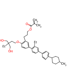 C=C(C)C(=O)OCCCc1cc(-c2ccc(-c3ccc(C4CCC(C)CC4)cc3)cc2CC)ccc1OCCC(CC)(CO)CO